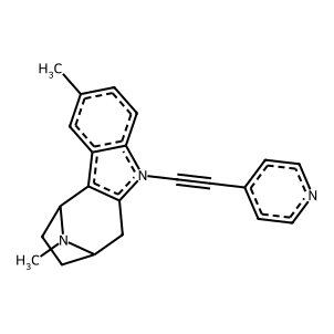 Cc1ccc2c(c1)c1c(n2C#Cc2ccncc2)CC2CCC1N2C